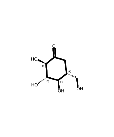 O=C1C[C@H](CO)[C@@H](O)[C@H](O)[C@H]1O